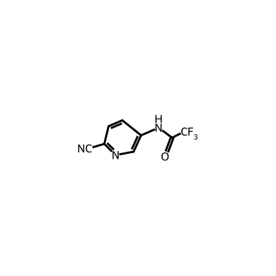 N#Cc1ccc(NC(=O)C(F)(F)F)cn1